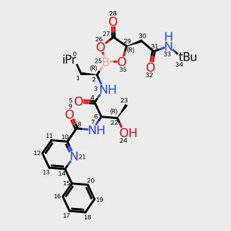 CC(C)C[C@H](NC(=O)C(NC(=O)c1cccc(-c2ccccc2)n1)[C@@H](C)O)B1OC(=O)[C@@H](CC(=O)NC(C)(C)C)O1